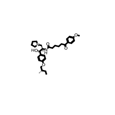 CC[C@H](C)COc1ccc([C@@H](O)[C@@H](CN2CCCC2)NC(=O)CCCCC(=O)c2ccc(OC)cc2)cc1